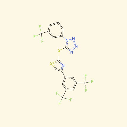 FC(F)(F)c1cccc(-n2nnnc2Sc2nc(-c3cc(C(F)(F)F)cc(C(F)(F)F)c3)cs2)c1